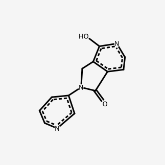 O=C1c2ccnc(O)c2CN1c1cccnc1